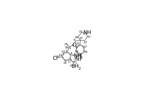 Bc1n[nH]c2c([C@@H](C)OCC3(c4ccc(F)cc4)CCNCC3)cc(Cl)cc12